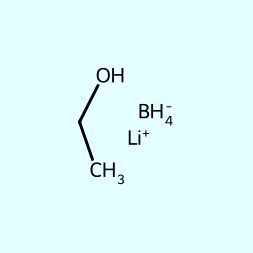 CCO.[BH4-].[Li+]